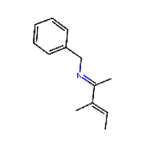 C/C=C(C)/C(C)=N/Cc1ccccc1